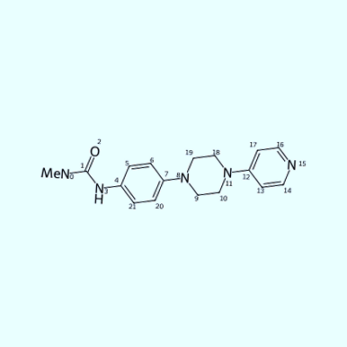 CNC(=O)Nc1ccc(N2CCN(c3ccncc3)CC2)cc1